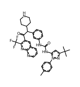 Cc1ccc(-n2nc(C(C)(C)C)cc2NC(=O)Nc2cccc(C(C(=O)c3cc4cccnc4nc3C(F)(F)F)C3CCNCC3)c2)cc1